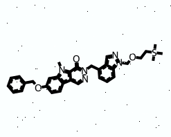 Cn1c2cc(OCc3ccccc3)ccc2c2cnn(Cc3cccc4c3cnn4COCCS(C)(C)C)c(=O)c21